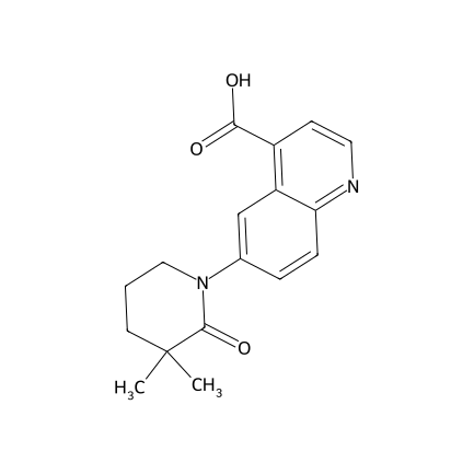 CC1(C)CCCN(c2ccc3nccc(C(=O)O)c3c2)C1=O